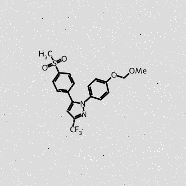 COCOc1ccc(-n2nc(C(F)(F)F)cc2-c2ccc(S(C)(=O)=O)cc2)cc1